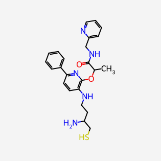 CC(Oc1nc(-c2ccccc2)ccc1NCCC(N)CS)C(=O)NCc1ccccn1